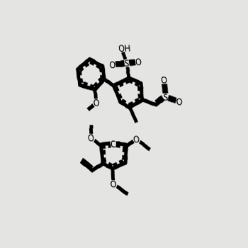 C=Cc1c(OC)cc(OC)cc1OC.COc1ccccc1-c1cc(C)c(C=S(=O)=O)cc1S(=O)(=O)O